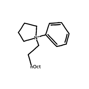 CCCCCCCCCC[N+]1(c2ccccc2)CCCC1